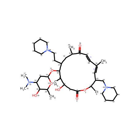 CCC1OC(=O)CC(O)C(C)C(OC2CC(N(C)C)C(O)C(C)O2)C(CCN2CCCCC2)CC(C)C(=O)/C=C/C(C)=C/C1CN1CCCCC1